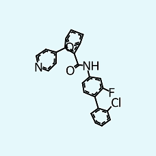 O=C(Nc1ccc(-c2ccccc2Cl)c(F)c1)c1c(-c2ccncc2)c2ccc1o2